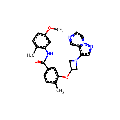 Cc1ccc(OC(F)(F)F)cc1NC(=O)c1ccc(C)c(OC2CN(c3cnn4ccncc34)C2)c1